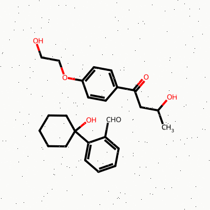 CC(O)CC(=O)c1ccc(OCCO)cc1.O=Cc1ccccc1C1(O)CCCCC1